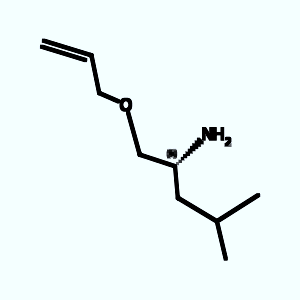 C=CCOC[C@H](N)CC(C)C